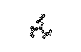 c1cc(-c2nc(-c3ccc(-n4c5ccccc5c5cc6sc7ccccc7c6cc54)cc3)nc(-c3ccc(-n4c5ccccc5c5cc6sc7ccccc7c6cc54)cc3)n2)cc(-n2c3ccccc3c3cc4sc5ccccc5c4cc32)c1